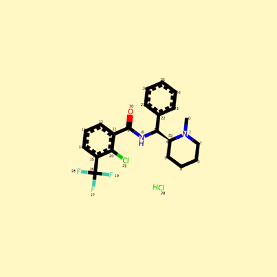 CN1CCCC[C@H]1C(NC(=O)c1cccc(C(F)(F)F)c1Cl)c1ccccc1.Cl